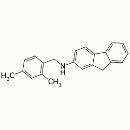 Cc1ccc(CNc2ccc3c(c2)Cc2ccccc2-3)c(C)c1